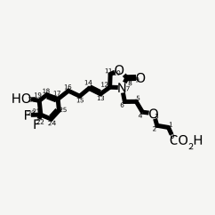 O=C(O)CCOCCCN1C(=O)OCC1C=CCCC1=CC(O)C(F)(F)C=C1